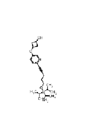 CC(C)[Si](OCCCC#Cc1ccc(OC2CC(O)C2)cn1)(C(C)C)C(C)C